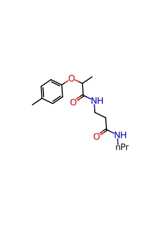 CCCNC(=O)CCNC(=O)C(C)Oc1ccc(C)cc1